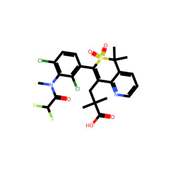 CN(C(=O)C(F)F)c1c(Cl)ccc(C2=C(CC(C)(C)C(=O)O)c3ncccc3C(C)(C)S2(=O)=O)c1Cl